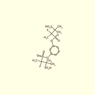 CC(C)(C(C)(F)S(=O)(=O)Oc1cccc(OS(=O)(=O)C(C)(F)C(C)(C)S(=O)(=O)O)c1)S(=O)(=O)O